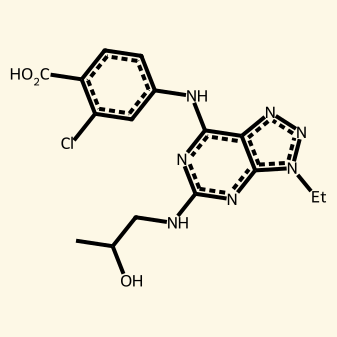 CCn1nnc2c(Nc3ccc(C(=O)O)c(Cl)c3)nc(NCC(C)O)nc21